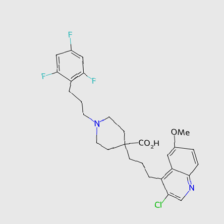 COc1ccc2ncc(Cl)c(CCCC3(C(=O)O)CCN(CCCc4c(F)cc(F)cc4F)CC3)c2c1